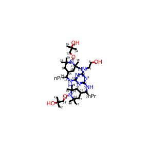 CCCC(Nc1nc(NCCO)nc(NC(CCC)C2CC(C)(C)N(OCC(C)(C)O)C(C)(C)C2)n1)C1CC(C)(C)N(OCC(C)(C)O)C(C)(C)C1